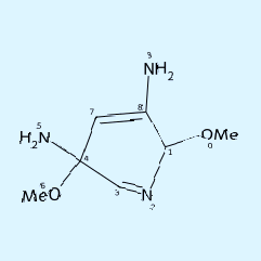 COC1N=CC(N)(OC)C=C1N